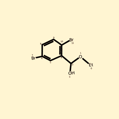 CCOC(O)c1cc(Br)ccc1Br